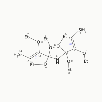 CCO/C(=C\[SiH3])C(NC(OCC)(OCC)/C(=C/[SiH3])OCC)(OCC)OCC